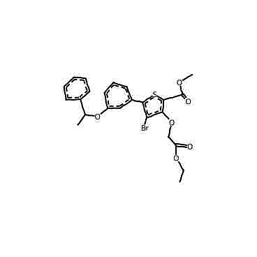 CCOC(=O)COc1c(C(=O)OC)sc(-c2cccc(OC(C)c3ccccc3)c2)c1Br